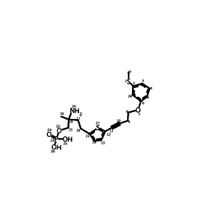 CSc1cccc(OCCC#Cc2ccc(CCC(C)(N)COP(=O)(O)O)s2)c1